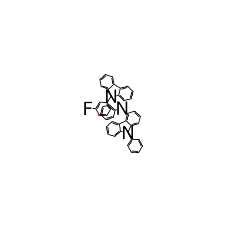 Fc1cccc(-n2c3ccccc3c3cccc(N(c4ccccc4)c4cccc5c4c4ccccc4n5-c4ccccc4)c32)c1